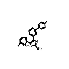 Cc1ccc(-c2cccc(-c3nc(C(C)C)[nH]c3-c3cccc(C)n3)c2)cc1